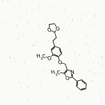 COc1cc(CCC2OCCO2)ccc1OCc1nc(-c2ccccc2)oc1C